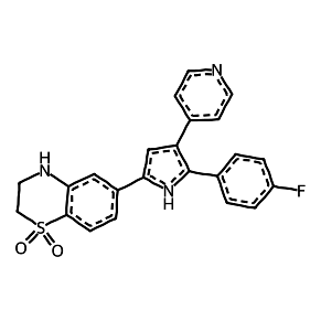 O=S1(=O)CCNc2cc(-c3cc(-c4ccncc4)c(-c4ccc(F)cc4)[nH]3)ccc21